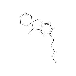 CCCCCc1ccc2c(c1)C(C)C1(CCCCC1)C2